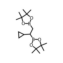 CC1(C)OB(CC(B2OC(C)(C)C(C)(C)O2)C2CC2)OC1(C)C